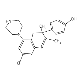 CC1=Nc2cc(Cl)cc(N3CCNCC3)c2CC1(C)c1ccc(O)cc1